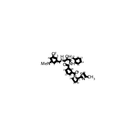 CNc1cc(CNC[C@@H](O)[C@H](Cc2ccccc2)NC(=O)c2cccc(C(=O)N3CCCC3c3nc(C)cs3)c2)cc(C(F)(F)F)c1